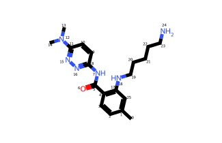 Cc1ccc(C(=O)Nc2ccc(N(C)C)nn2)c(NCCCCCN)c1